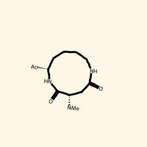 CN[C@H]1CC(=O)NCCCC[C@@H](C(C)=O)NC1=O